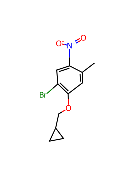 Cc1cc(OCC2CC2)c(Br)cc1[N+](=O)[O-]